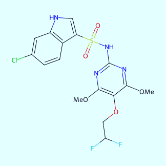 COc1nc(NS(=O)(=O)c2c[nH]c3cc(Cl)ccc23)nc(OC)c1OCC(F)F